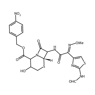 CON=C(C(=O)NC1C(=O)N2C(C(=O)OCc3ccc([N+](=O)[O-])cc3)C(O)CS[C@@H]12)c1csc(NC=O)n1